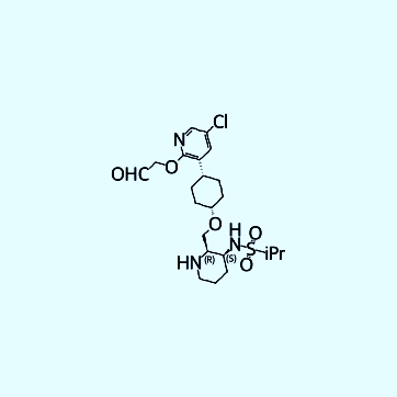 CC(C)S(=O)(=O)N[C@H]1CCCN[C@H]1CO[C@H]1CC[C@@H](c2cc(Cl)cnc2OCC=O)CC1